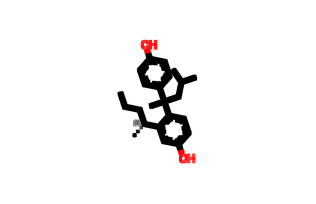 CCC[C@@H](C)c1cc(O)ccc1C(C)(CC(C)C)c1ccc(O)cc1